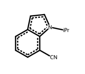 CC(C)n1ccc2cccc(C#N)c21